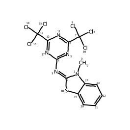 Cn1c(=Nc2nc(C(Cl)(Cl)Cl)nc(C(Cl)(Cl)Cl)n2)sc2ccccc21